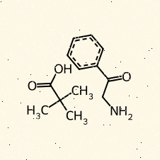 CC(C)(C)C(=O)O.NCC(=O)c1ccccc1